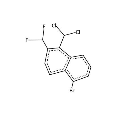 FC(F)c1ccc2c(Br)cccc2c1C(Cl)Cl